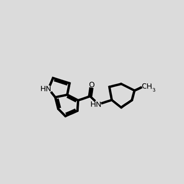 CC1CCC(NC(=O)c2cccc3[nH]ccc23)CC1